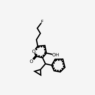 O=c1oc(CCCF)cc(O)c1C(c1ccccc1)C1CC1